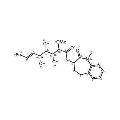 CO[C@@H](C(=O)NC1CCc2ccccc2N(C)C1=O)[C@H](O)[C@@H](O)[C@H](O)/C=C/C(C)(C)C